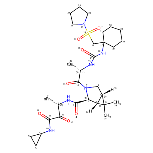 CCC[C@H](NC(=O)[C@@H]1[C@@H]2[C@H](CN1C(=O)[C@@H](NC(=O)NC1(CS(=O)(=O)N3CCCC3)CCCCC1)C(C)(C)C)C2(C)C)C(=O)C(=O)NC1CC1